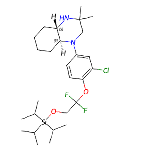 CC(C)[Si](OCC(F)(F)Oc1ccc(N2CC(C)(C)N[C@H]3CCCC[C@@H]32)cc1Cl)(C(C)C)C(C)C